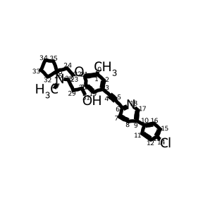 Cc1cc(C#Cc2ccc(-c3ccc(Cl)cc3)cn2)ccc1OCCC1(N(C)CCCO)CCCC1